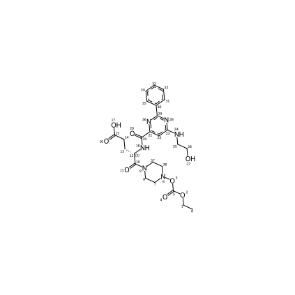 CCOC(=O)ON1CCN(C(=O)[C@H](CCC(=O)O)NC(=O)c2cc(NCCO)nc(-c3ccccc3)n2)CC1